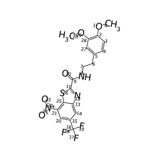 COc1ccc(CCNC(=O)c2nc3cc(C(F)(F)F)cc([N+](=O)[O-])c3s2)cc1OC